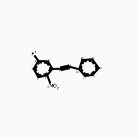 O=[N+]([O-])c1ccc(F)cc1C#Cc1ccccc1